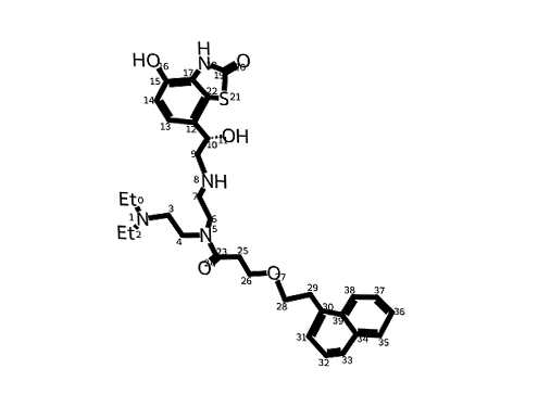 CCN(CC)CCN(CCNC[C@@H](O)c1ccc(O)c2[nH]c(=O)sc12)C(=O)CCOCCc1cccc2ccccc12